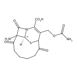 NC(=O)OCC1=C(C(=O)O)N2C(=O)C3(N)C(=O)CCCCC(=O)C1S[C@H]23